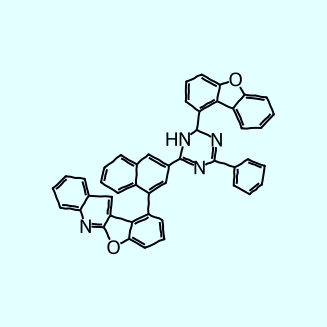 c1ccc(C2=NC(c3cccc4oc5ccccc5c34)NC(c3cc(-c4cccc5oc6nc7ccccc7cc6c45)c4ccccc4c3)=N2)cc1